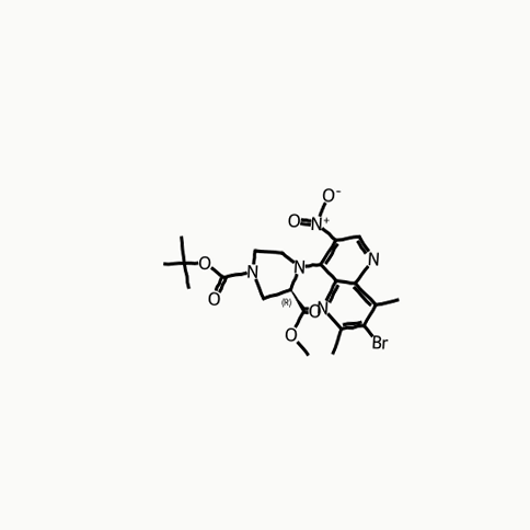 COC(=O)[C@H]1CN(C(=O)OC(C)(C)C)CCN1c1c([N+](=O)[O-])cnc2c(C)c(Br)c(C)nc12